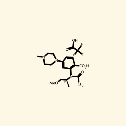 COC[C@H](C)N(C(=O)C(F)(F)F)c1cc(N2CCN(C)CC2)ccc1C(=O)O.O=C(O)C(F)(F)F